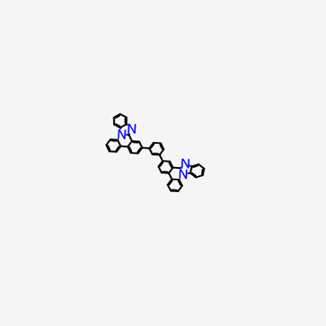 c1cc(-c2ccc3c4ccccc4n4c5ccccc5nc4c3c2)cc(-c2ccc3c4ccccc4n4c5ccccc5nc4c3c2)c1